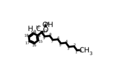 CCCCCCCCCCC(C)(OO)c1ccccc1